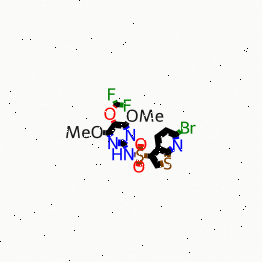 COc1nc(NS(=O)(=O)c2csc3nc(Br)ccc23)nc(OC)c1OC(F)F